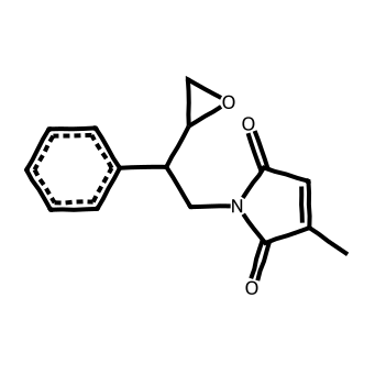 CC1=CC(=O)N(CC(c2ccccc2)C2CO2)C1=O